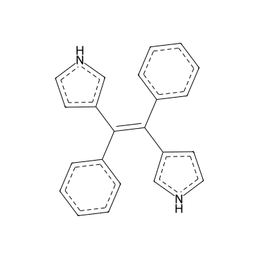 c1ccc(C(=C(c2ccccc2)c2cc[nH]c2)c2cc[nH]c2)cc1